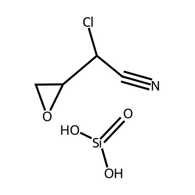 N#CC(Cl)C1CO1.O=[Si](O)O